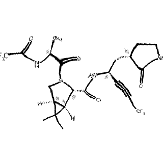 CC(C)(C)[C@H](NC(=O)C(F)(F)F)C(=O)N1C[C@H]2[C@@H]([C@H]1C(=O)N[C@H](C#CC(F)(F)F)C[C@@H]1CCNC1=O)C2(C)C